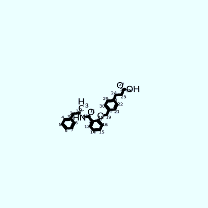 CC(Cc1ccccc1)NC(=O)c1ccccc1OCc1ccc(CCC(=O)O)cc1